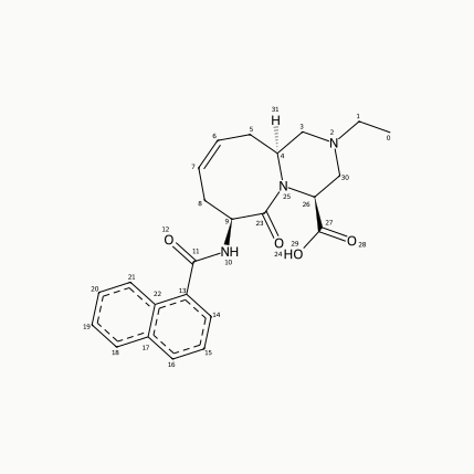 CCN1C[C@@H]2C/C=C\C[C@H](NC(=O)c3cccc4ccccc34)C(=O)N2[C@H](C(=O)O)C1